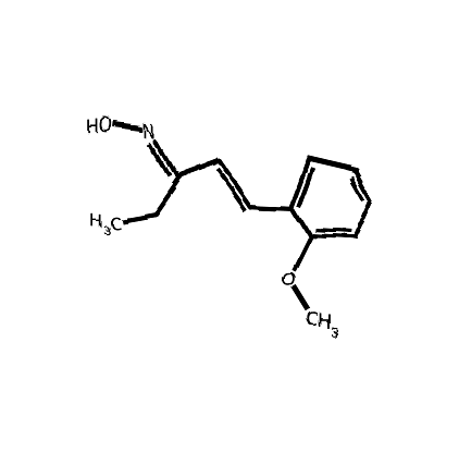 CCC(/C=C/c1ccccc1OC)=N\O